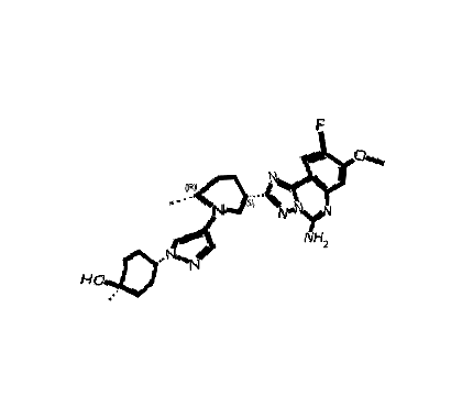 COc1cc2nc(N)n3nc([C@H]4CC[C@@H](C)N(c5cnn([C@H]6CC[C@](C)(O)CC6)c5)C4)nc3c2cc1F